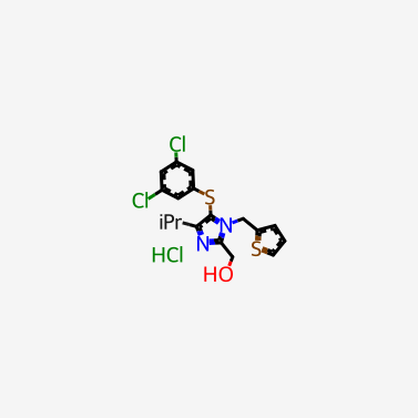 CC(C)c1nc(CO)n(Cc2cccs2)c1Sc1cc(Cl)cc(Cl)c1.Cl